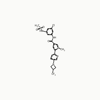 Cn1cc(C(=O)Nc2cc(Cl)cc(NS(C)(=O)=O)c2)cc1-c1ccc(N2CC(C(F)(F)F)C2)cn1